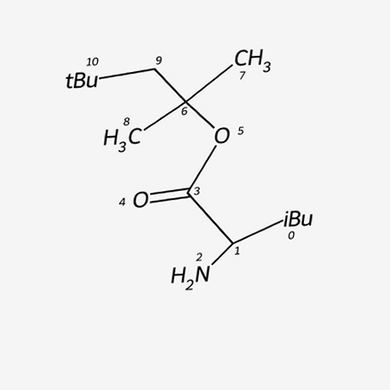 CCC(C)C(N)C(=O)OC(C)(C)CC(C)(C)C